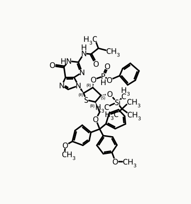 COc1ccc(C(OC[C@H]2S[C@@H](n3cnc4c(=O)[nH]c(NC(=O)C(C)C)nc43)[C@H](O[PH](=O)Oc3ccccc3)[C@@H]2O[Si](C)(C)C(C)(C)C)(c2ccccc2)c2ccc(OC)cc2)cc1